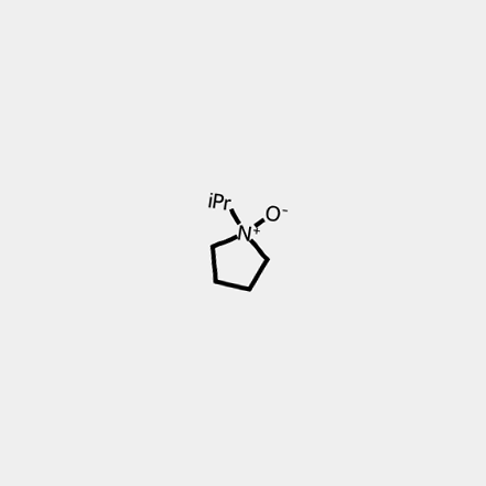 CC(C)[N+]1([O-])CCCC1